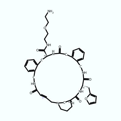 NCCOCCNC(=O)[C@@H]1Cc2ccccc2CNC(=O)/C=C/CN2CCC[C@H](C2)C(=O)N[C@@H](Cc2ccco2)C(=O)NCc2ccccc2CC(=O)N1